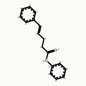 O=C(CCC=Cc1ccccc1)Oc1ccccc1